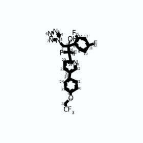 O[C@@](Cn1cnnn1)(c1ccc(F)cc1F)C(F)(F)c1ccc(-c2ccc(OCC(F)(F)F)cc2)cn1